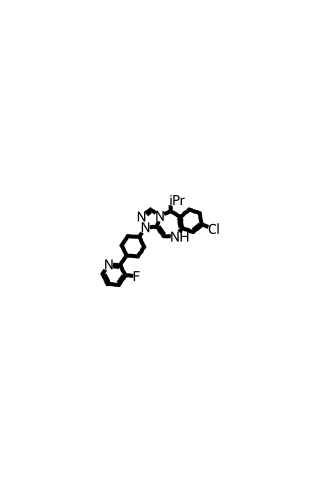 CC(C)C1C2=C(C=C(Cl)CC2)NC=C2N1C=NN2C1CCC(c2ncccc2F)CC1